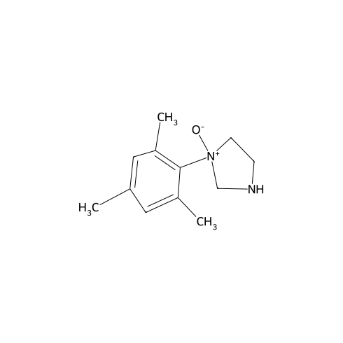 Cc1cc(C)c([N+]2([O-])CCNC2)c(C)c1